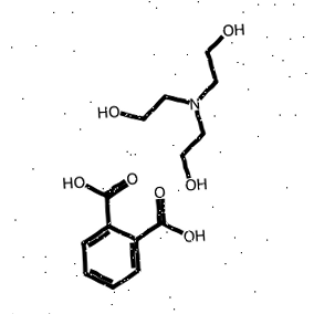 O=C(O)c1ccccc1C(=O)O.OCCN(CCO)CCO